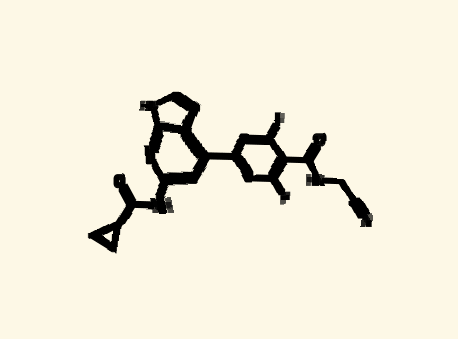 N#CCNC(=O)c1c(F)cc(-c2cc(NC(=O)C3CC3)nc3[nH]ccc23)cc1F